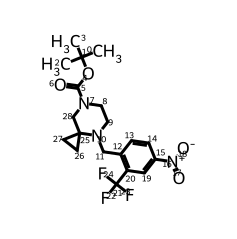 CC(C)(C)OC(=O)N1CCN(Cc2ccc([N+](=O)[O-])cc2C(F)(F)F)C2(CC2)C1